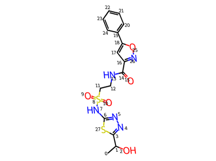 CC(O)c1nnc(NS(=O)(=O)CCNC(=O)c2cc(-c3ccccc3)on2)s1